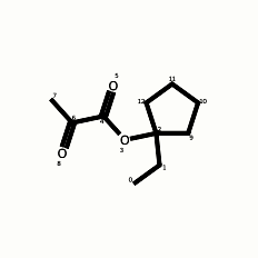 CCC1(OC(=O)C(C)=O)CCCC1